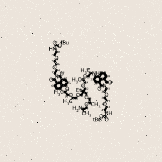 CCC(COCC(C)OCC(C)N)(COCC(C)OCC(C)Nc1ccc2c3c(cccc13)C(=O)N(CCOCCOCCNC(=O)OC(C)(C)C)C2=O)COCC(C)OCC(C)Oc1ccc2c3c(cccc13)C(=O)N(CCOCCOCCNC(=O)OC(C)(C)C)C2=O